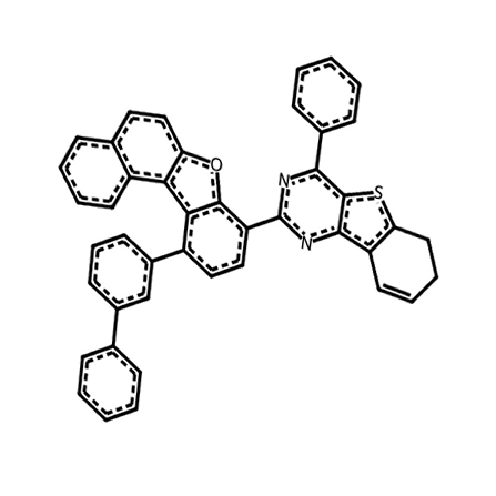 C1=Cc2c(sc3c(-c4ccccc4)nc(-c4ccc(-c5cccc(-c6ccccc6)c5)c5c4oc4ccc6ccccc6c45)nc23)CC1